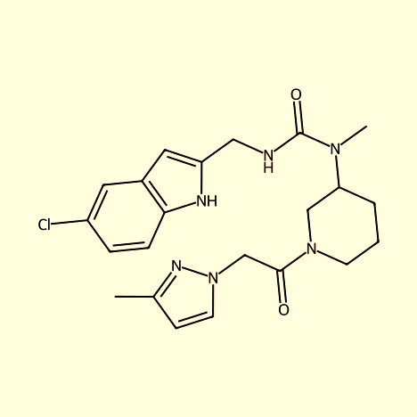 Cc1ccn(CC(=O)N2CCCC(N(C)C(=O)NCc3cc4cc(Cl)ccc4[nH]3)C2)n1